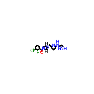 O=C(c1cccc(Cl)c1F)N1C[C@@H]2C[C@H]1CN2Cc1cccc(Nc2cc[nH]n2)n1